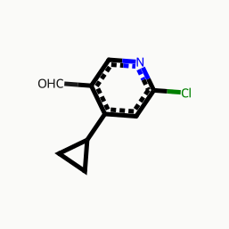 O=Cc1cnc(Cl)cc1C1CC1